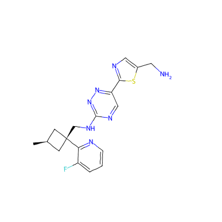 C[C@H]1C[C@](CNc2ncc(-c3ncc(CN)s3)nn2)(c2ncccc2F)C1